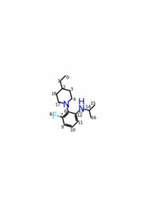 CCC1CCN(c2c(F)cccc2NC(C)C)CC1